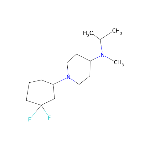 CC(C)N(C)C1CCN(C2CCCC(F)(F)C2)CC1